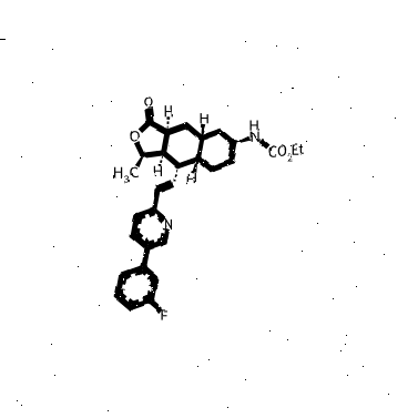 CCOC(=O)N[C@H]1CC[C@H]2[C@@H](C1)C[C@@H]1C(=O)O[C@H](C)[C@@H]1[C@H]2/C=C/c1ccc(-c2cccc(F)c2)cn1